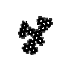 c1ccc2c(-c3ccc(-c4cc(-c5ccc6c7ccccc7c7ccccc7c6c5)nc5c4cc(-c4ccc6c7ccccc7c7ccccc7c6c4)c4ccccc45)cc3)c3ccccc3nc2c1